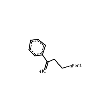 [CH]=C(CCCCCCC)c1ccccc1